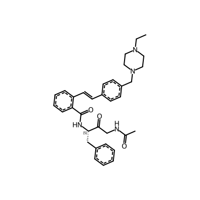 CCN1CCN(Cc2ccc(C=Cc3ccccc3C(=O)N[C@@H](Cc3ccccc3)C(=O)CNC(C)=O)cc2)CC1